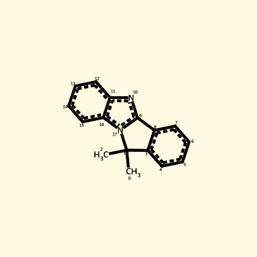 CC1(C)c2ccccc2-c2nc3ccccc3n21